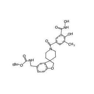 Cc1cc(C(=O)N2CCC3(CC2)COc2ccc(CNC(=O)OC(C)(C)C)cc23)cc(C(=O)NO)c1O